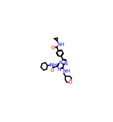 O=C(NC1CC1)c1ccc(-c2cnc3c(NCC4CCOCC4)nc(C(=O)NC4CCCCC4)cn23)cc1